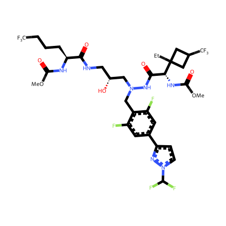 CCC1([C@H](NC(=O)OC)C(=O)NN(Cc2c(F)cc(-c3ccn(C(F)F)n3)cc2F)C[C@H](O)CNC(=O)[C@H](CCCC(F)(F)F)NC(=O)OC)CC(C(F)(F)F)C1